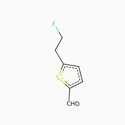 O=Cc1ccc(CCF)s1